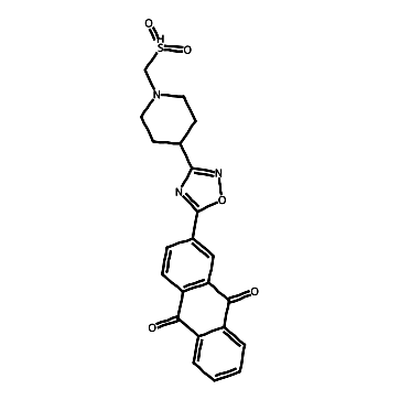 O=C1c2ccccc2C(=O)c2cc(-c3nc(C4CCN(C[SH](=O)=O)CC4)no3)ccc21